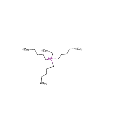 CCCCCCCCCCCCCC[PH](CCCCCCCCCCC)(CCCCCCCCCCCCCC)CCCCCCCCCCCCCC